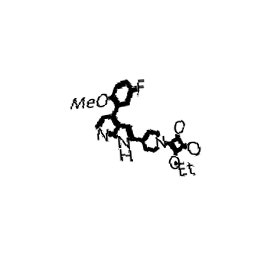 CCOc1c(N2CC=C(c3cc4c(-c5cc(F)ccc5OC)ccnc4[nH]3)CC2)c(=O)c1=O